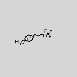 CN1CCN(CCCOC(F)(F)F)CC1